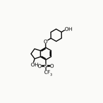 O=S(=O)(c1ccc(OC2CCC(O)CC2)c2c1C(O)CC2)C(F)(F)F